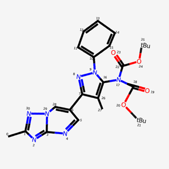 Cc1nc2ncc(-c3nn(-c4ccccc4)c(N(C(=O)OC(C)(C)C)C(=O)OC(C)(C)C)c3C)cn2n1